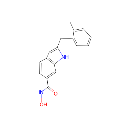 Cc1ccccc1Cc1cc2ccc(C(=O)NO)cc2[nH]1